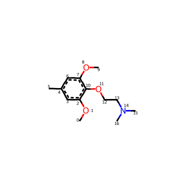 COc1cc(C)cc(OC)c1OCCN(C)C